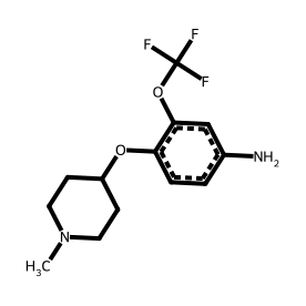 CN1CCC(Oc2ccc(N)cc2OC(F)(F)F)CC1